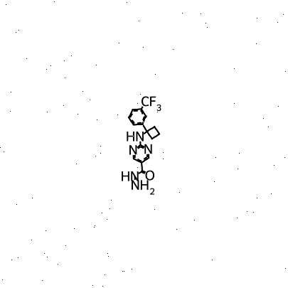 NNC(=O)c1cnc(NC2(c3cccc(C(F)(F)F)c3)CCC2)nc1